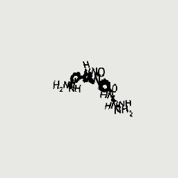 N=C(N)NCCCNC(=O)c1ccc(-n2cc3cc(C4CCCN(C(=N)N)C4)[nH]c3nc2=O)cc1